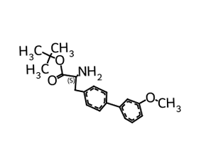 COc1cccc(-c2ccc(C[C@H](N)C(=O)OC(C)(C)C)cc2)c1